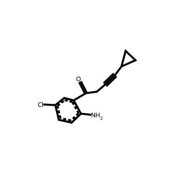 Nc1ccc(Cl)cc1C(=O)CC#CC1CC1